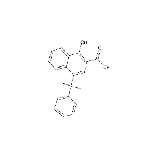 CC(C)(c1ccccc1)c1cc(C(=O)O)c(O)c2ccccc12